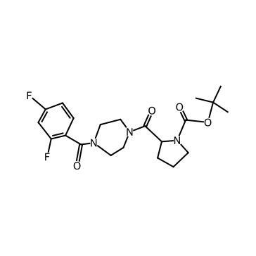 CC(C)(C)OC(=O)N1CCCC1C(=O)N1CCN(C(=O)c2ccc(F)cc2F)CC1